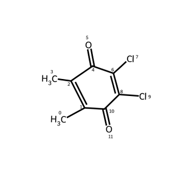 CC1=C(C)C(=O)C(Cl)=C(Cl)C1=O